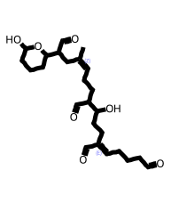 C/C(=C/CCC(C=O)C(O)CC/C(C=O)=C\CCCC=O)CC(C=O)C1CCCC(O)O1